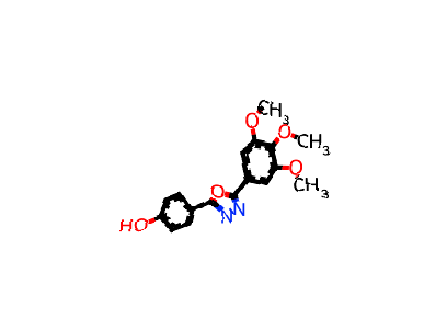 COc1cc(-c2nnc(-c3ccc(O)cc3)o2)cc(OC)c1OC